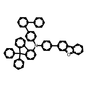 c1ccc(-c2ccccc2-c2ccc(N(c3ccc(-c4ccc5c(c4)oc4ccccc45)cc3)c3cccc4c3-c3ccccc3C4(c3ccccc3)c3ccccc3)cc2)cc1